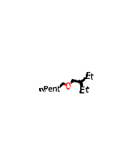 CCCCC[CH]OCC(CC)CC